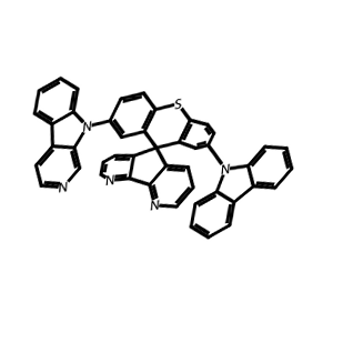 c1cnc2c(c1)C1(c3cc(-n4c5ccccc5c5ccccc54)ccc3Sc3ccc(-n4c5ccccc5c5ccncc54)cc31)c1cccnc1-2